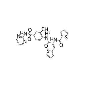 CC1=C(NC(=O)/C(=C\c2cccs2)NC(=O)c2cccs2)C=CC(S(=O)(=O)Nc2ncccn2)C1